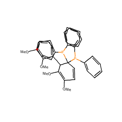 COC1=C(OC)C(c2cccc(OC)c2OC)C(P(c2ccccc2)c2ccccc2)(P(c2ccccc2)c2ccccc2)C=C1